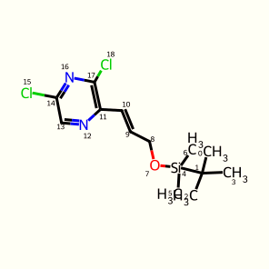 CC(C)(C)[Si](C)(C)OCC=Cc1ncc(Cl)nc1Cl